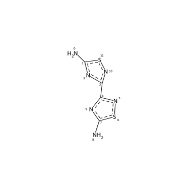 Nc1nc(-c2nsc(N)n2)ns1